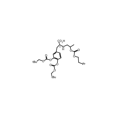 CC(C)CCOC(=O)OC(C)CN[C@@H](Cc1ccc(OC(=O)OCC(C)(C)C)c(OC(=O)OCC(C)(C)C)c1)C(=O)O